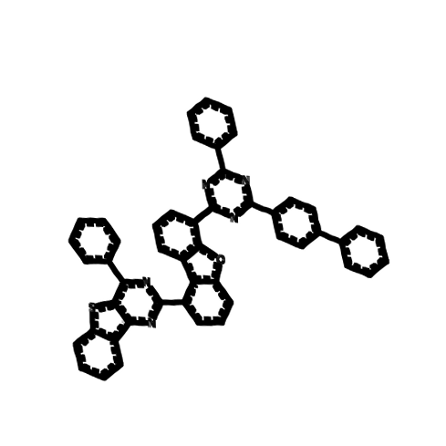 c1ccc(-c2ccc(-c3nc(-c4ccccc4)nc(-c4cccc5c4oc4cccc(-c6nc(-c7ccccc7)c7sc8ccccc8c7n6)c45)n3)cc2)cc1